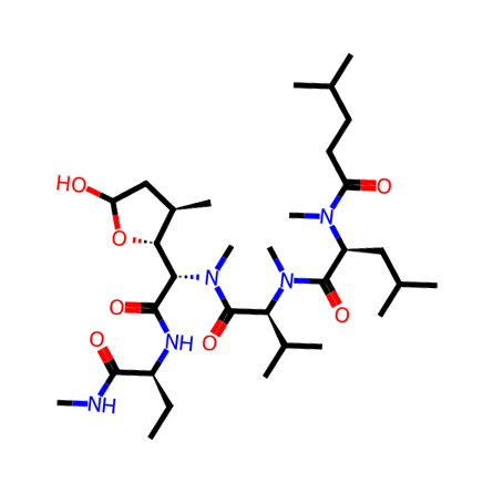 CC[C@H](NC(=O)[C@H]([C@@H]1OC(O)C[C@H]1C)N(C)C(=O)[C@H](C(C)C)N(C)C(=O)[C@H](CC(C)C)N(C)C(=O)CCC(C)C)C(=O)NC